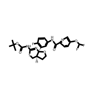 CC(C)(C)OC(=O)NC1=N[C@@]2(c3cc(NC(=O)c4ccc(OC(F)F)cn4)ccc3F)OCC[C@H]2CS1